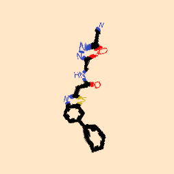 N#Cc1nnc(CNC(=O)Cc2nc3ccc(-c4ccccc4)cc3s2)o1